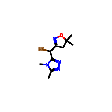 Cc1nnc(C(S)C2=NOC(C)(C)C2)n1C